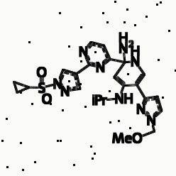 COCn1ccc(C2=CNC(N)(c3ccnc(-c4cnn(S(=O)(=O)C5CC5)c4)n3)C=C2NC(C)C)n1